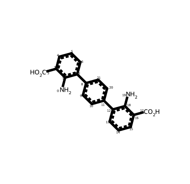 Nc1c(C(=O)O)cccc1-c1ccc(-c2cccc(C(=O)O)c2N)cc1